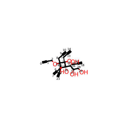 C#CCOC(CC#C)(CC#C)[C@](CC#C)(OCC#C)[C@](O)(CC#C)[C@H](O)[C@H](O)CO